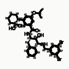 CC(C)Oc1cc(C(=O)N[C@@H](Cc2ccccc2)[C@@H](O)CNCc2cc(Br)cc(Br)c2)cc(N2CCCCS2(O)O)c1